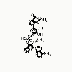 CCO[C@@H]1[C@H](OP(=O)(O)OC[C@H]2O[C@@H](n3cnc4c(=O)[nH]c(N)nc43)[C@H](O)[C@@H]2O)C(CO)O[C@H]1n1cnc2c(N)ncnc21